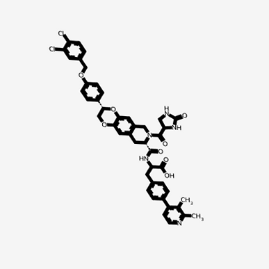 Cc1nccc(-c2ccc(CC(NC(=O)[C@@H]3Cc4cc5c(cc4CN3C(=O)C3CNC(=O)N3)O[C@@H](c3ccc(OCc4ccc(Cl)c(Cl)c4)cc3)CO5)C(=O)O)cc2)c1C